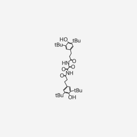 CC(C)(C)c1cc(CCC(=O)NC(=O)C(=O)NC(=O)CCc2cc(C(C)(C)C)c(O)c(C(C)(C)C)c2)cc(C(C)(C)C)c1O